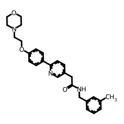 Cc1cccc(CNC(=O)Cc2ccc(-c3ccc(OCCN4CCOCC4)cc3)nc2)c1